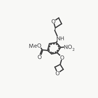 COC(=O)c1cc(NC[C@@H]2CCO2)c([N+](=O)[O-])c(OC2COC2)c1